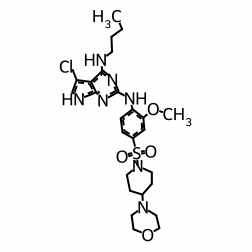 CCCCNc1nc(Nc2ccc(S(=O)(=O)N3CCC(N4CCOCC4)CC3)cc2OC)nc2[nH]cc(Cl)c12